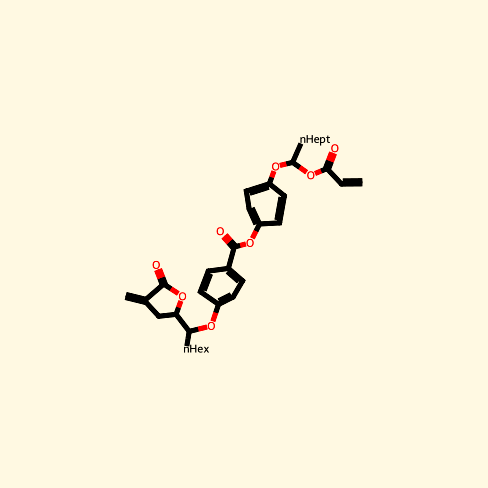 C=CC(=O)OC(CCCCCCC)Oc1ccc(OC(=O)c2ccc(OC(CCCCCC)C3CC(=C)C(=O)O3)cc2)cc1